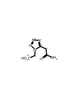 NC(=O)Cc1nnnn1CC(=O)O